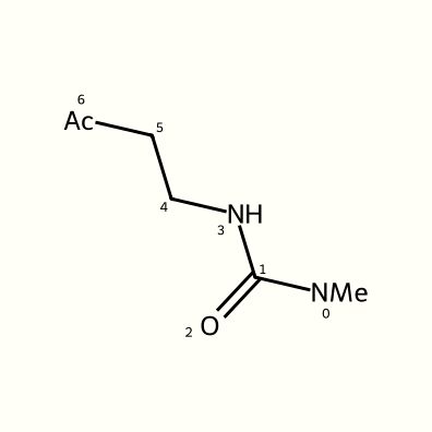 CNC(=O)NCCC(C)=O